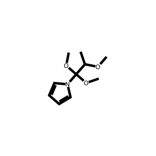 COC(C)C(OC)(OC)n1cccc1